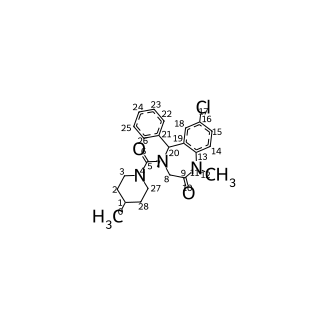 CC1CCN(C(=O)N2CC(=O)N(C)c3ccc(Cl)cc3C2c2ccccc2)CC1